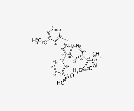 COc1cccc(Cn2cc(-c3cccc(C(=O)O)c3)c3cc(-c4c(C)noc4C)cnc32)c1